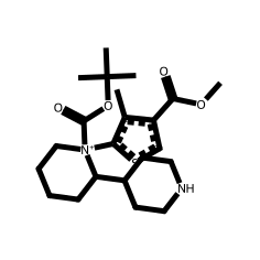 COC(=O)c1csc([N+]2(C(=O)OC(C)(C)C)CCCCC2C2CCNCC2)c1C